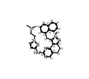 CN(C)CCn1ccc(Nc2ncc3c(n2)-c2c(nn(C)c2Cc2cccc4ccccc24)CC3)n1